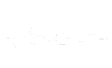 Cl.Cn1c2c(c3ccc(-n4ccc(OCc5ccc(Cl)cc5F)cc4=O)nc31)CN1CCCC1C2